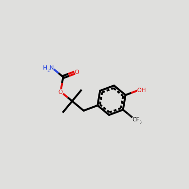 CC(C)(Cc1ccc(O)c(C(F)(F)F)c1)OC(N)=O